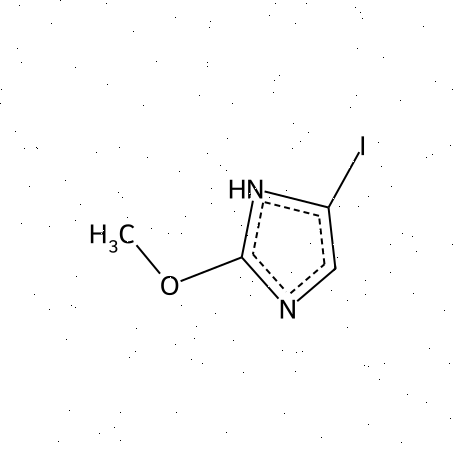 COc1ncc(I)[nH]1